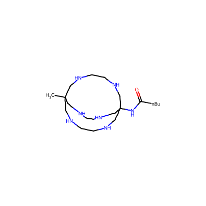 CCCCC(=O)NC12CNCCNCC(C)(CNCCNC1)CNCCNC2